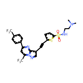 CN(C)CCNS(=O)(=O)c1ccc(C#Cc2cnn3c(C(F)(F)F)cc(-c4ccc(C(F)(F)F)cc4)nc23)s1